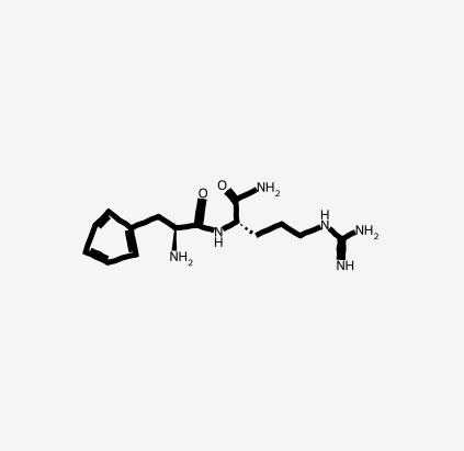 N=C(N)NCCC[C@H](NC(=O)[C@@H](N)Cc1ccccc1)C(N)=O